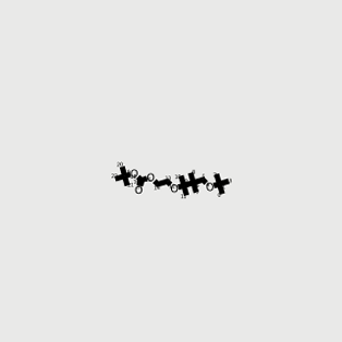 CC(C)(C)OCC(C)(C)C(C)(C)OCCOC(=O)OC(C)(C)C